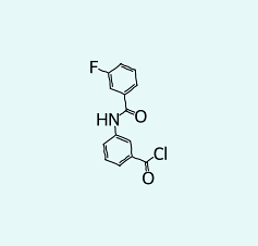 O=C(Cl)c1cccc(NC(=O)c2cccc(F)c2)c1